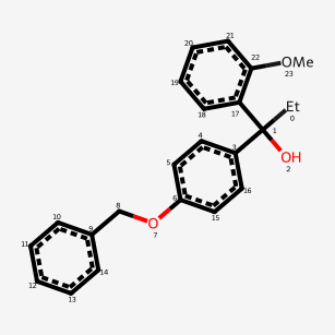 CCC(O)(c1ccc(OCc2ccccc2)cc1)c1ccccc1OC